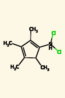 CC1=C(C)C(C)C([SiH](Cl)Cl)=C1C